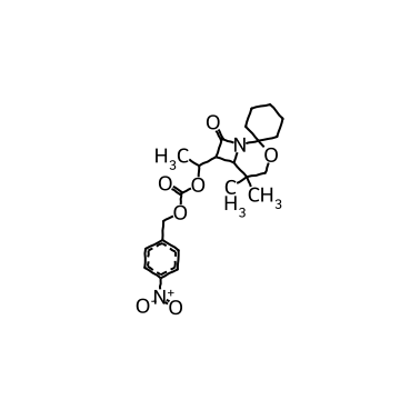 CC(OC(=O)OCc1ccc([N+](=O)[O-])cc1)C1C(=O)N2C1C(C)(C)COC21CCCCC1